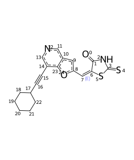 O=C1NC(=S)S/C1=C/c1cc2cncc(C#CC3CCCCC3)c2o1